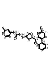 Cc1cc(NC(=O)NCC2=NOC(COc3ccccc3-c3ccc(F)nc3)C2)ccn1